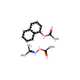 CNC(=O)O/N=C(\C)SC.CNC(=O)Oc1cccc2ccccc12